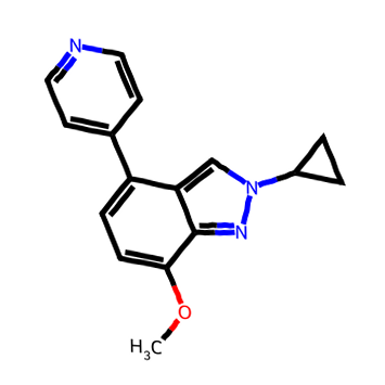 COc1ccc(-c2ccncc2)c2cn(C3CC3)nc12